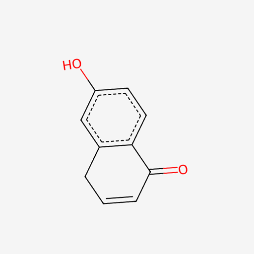 O=C1C=CCc2cc(O)ccc21